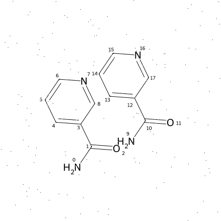 NC(=O)c1cccnc1.NC(=O)c1cccnc1